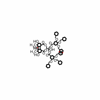 Cc1c(O)cc2c(c1O)-c1c(cc(O)c(C)c1O)C(=O)OC(C(O)(COC(=O)c1cc(OCc3ccccc3)c(OCc3ccccc3)c(OCc3ccccc3)c1)COC(=O)c1cc(OCc3ccccc3)c(OCc3ccccc3)c(OCc3ccccc3)c1)COC2=O